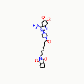 COc1cc2nc(N3CCN(C(=O)CCCCCCCN4C(=O)c5ccccc5C4=O)CC3)nc(N)c2cc1OC